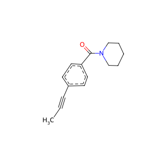 CC#Cc1ccc(C(=O)N2CCCCC2)cc1